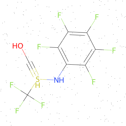 OC#[SH](Nc1c(F)c(F)c(F)c(F)c1F)C(F)(F)F